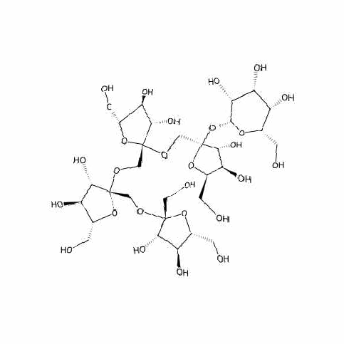 OC[C@@H]1O[C@H](O[C@]2(CO[C@]3(CO[C@]4(CO[C@]5(CO)O[C@H](CO)[C@@H](O)[C@@H]5O)O[C@H](CO)[C@@H](O)[C@@H]4O)O[C@H](CO)[C@@H](O)[C@@H]3O)O[C@H](CO)[C@H](O)[C@H]2O)[C@H](O)[C@H](O)[C@@H]1O